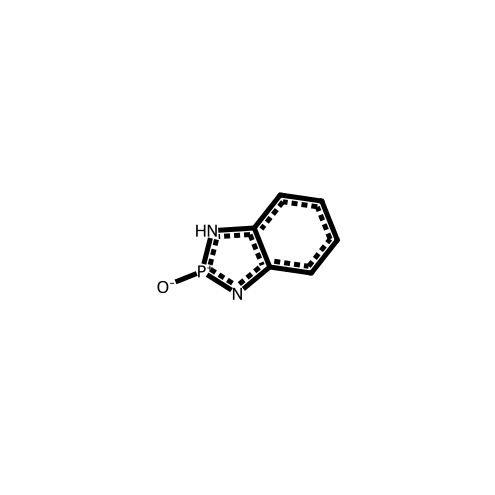 [O-][p+]1nc2ccccc2[nH]1